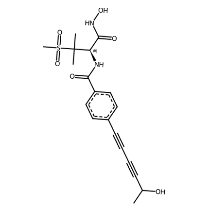 CC(O)C#CC#Cc1ccc(C(=O)N[C@H](C(=O)NO)C(C)(C)S(C)(=O)=O)cc1